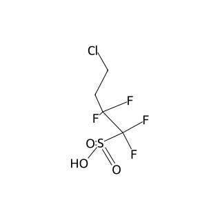 O=S(=O)(O)C(F)(F)C(F)(F)CCCl